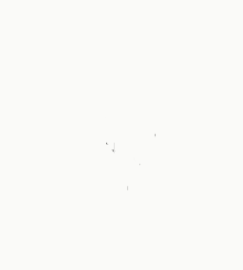 C=Cc1cccc2c1ccn2S(=O)(=O)c1ccccc1C